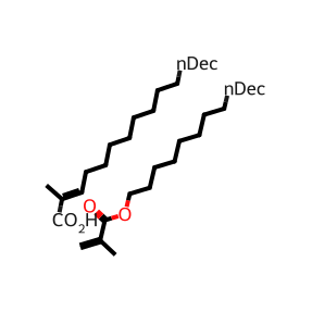 C=C(C)C(=O)OCCCCCCCCCCCCCCCCCC.CCCCCCCCCCCCCCCCCCC=C(C)C(=O)O